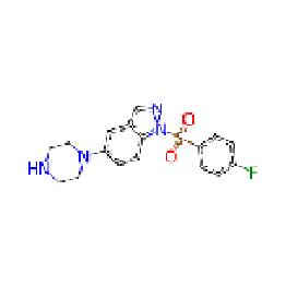 O=S(=O)(c1ccc(F)cc1)n1ncc2cc(N3CCNCC3)ccc21